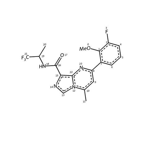 COc1c(F)cccc1-c1cc(C)n2cnc(C(=O)NC(C)C(F)(F)F)c2n1